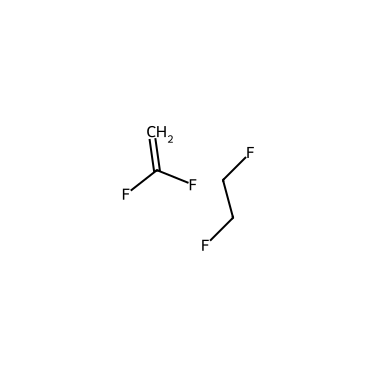 C=C(F)F.FCCF